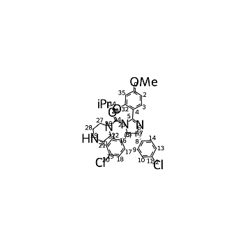 COc1ccc(C2=N[C@H](c3ccc(Cl)cc3)[C@H](c3ccc(Cl)cc3)N2C(=O)N2CCNCC2)c(OC(C)C)c1